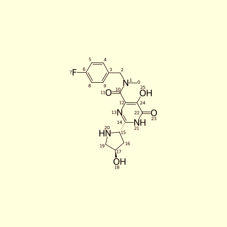 CN(Cc1ccc(F)cc1)C(=O)c1nc([C@@H]2C[C@@H](O)CN2)[nH]c(=O)c1O